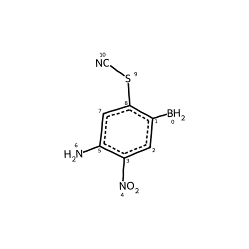 Bc1cc([N+](=O)[O-])c(N)cc1SC#N